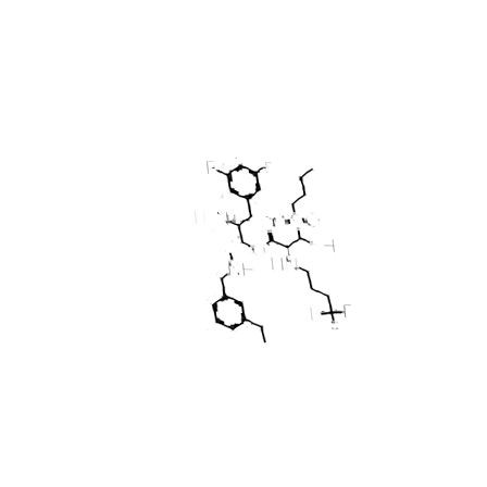 CCCCS(=O)(=O)C(S)[C@@H](NCCCC(F)(F)F)C(=O)O[C@H](CNCc1cccc(CC)c1)C(N)Cc1cc(F)cc(F)c1